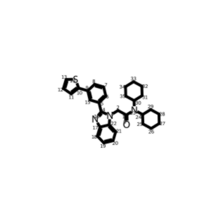 O=C(Cn1c(-c2cccc(-c3cccs3)c2)nc2ccccc21)N(C1CCCCC1)C1CCCCC1